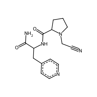 N#CCN1CCCC1C(=O)NC(Cc1ccncc1)C(N)=O